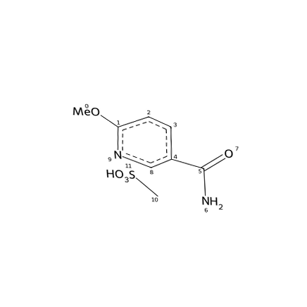 COc1ccc(C(N)=O)cn1.CS(=O)(=O)O